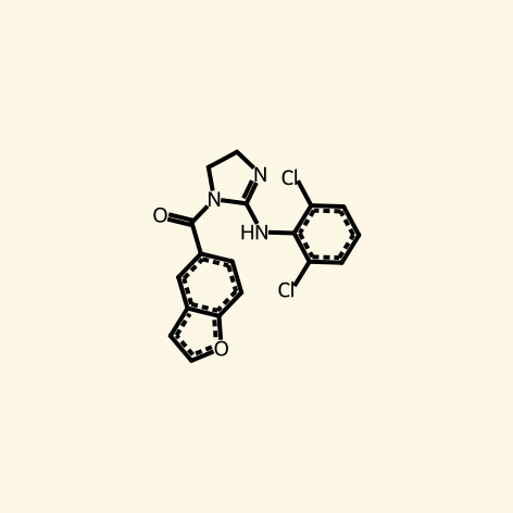 O=C(c1ccc2occc2c1)N1CCN=C1Nc1c(Cl)cccc1Cl